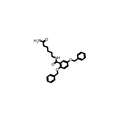 NC(=O)CCCCCNC(=O)c1cc(OCc2ccccc2)ccc1OCc1ccccc1